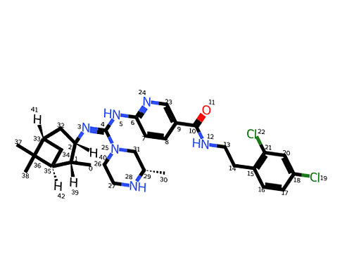 C[C@H]1[C@@H](N=C(Nc2ccc(C(=O)NCCc3ccc(Cl)cc3Cl)cn2)N2CCN[C@@H](C)C2)C[C@@H]2C[C@@H]1C2(C)C